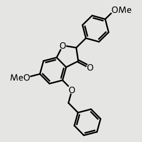 COc1ccc(C2Oc3cc(OC)cc(OCc4ccccc4)c3C2=O)cc1